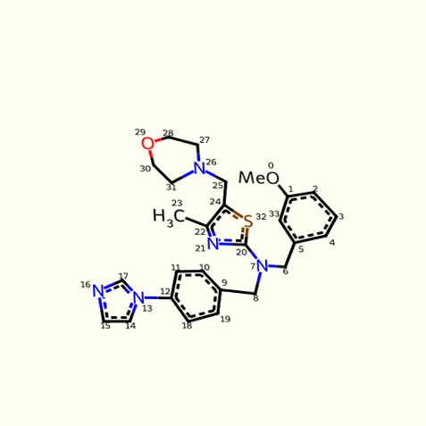 COc1cccc(CN(Cc2ccc(-n3ccnc3)cc2)c2nc(C)c(CN3CCOCC3)s2)c1